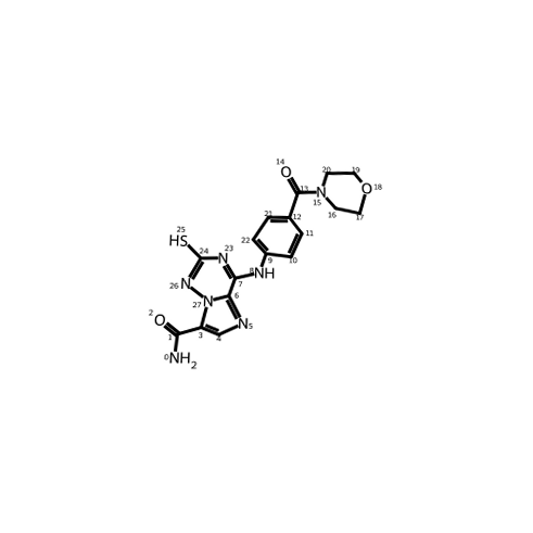 NC(=O)c1cnc2c(Nc3ccc(C(=O)N4CCOCC4)cc3)nc(S)nn12